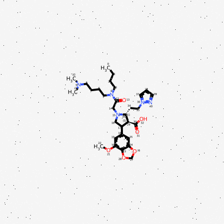 CCCCN(CCCCN(C)C)C(=O)CN1CC(c2cc(OC)c3c(c2)OCO3)[C@H](C(=O)O)[C@H]1CCn1cccn1